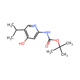 CC(C)c1cnc(NC(=O)OC(C)(C)C)cc1O